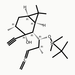 C#C[C@]1(O)[C@@H]([C@H](O[Si](C)(C)C(C)(C)C)[C@H](C)C=C=C)[C@H]2[C@@H](C[C@H]1C)C2(C)C